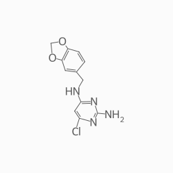 Nc1nc(Cl)cc(NCc2ccc3c(c2)OCO3)n1